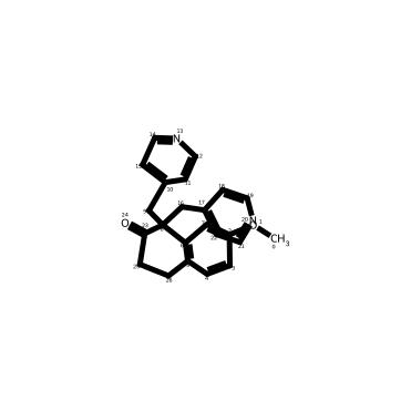 COc1ccc2c(c1)C(Cc1ccncc1)(Cc1ccncc1)C(=O)CC2